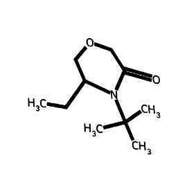 CCC1COCC(=O)N1C(C)(C)C